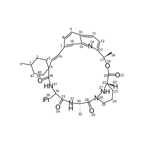 CC1CCC2(/C=C/c3ccc4ccc(nc4c3)[C@@H](C)OC(=O)[C@@H]3CCCN(N3)C(=O)[C@H](C)NC(=O)C(C(C)C)NC2=O)CC1